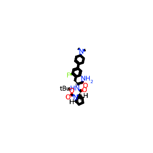 CN(C)C1CC=C(c2ccc(C[C@H](NC(=O)[C@@H]3[C@H]4CC[C@H](C4)N3C(=O)OC(C)(C)C)C(N)=O)c(F)c2)CC1